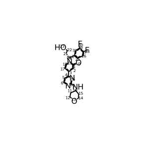 O=c1cc(-c2ccnc(NC3CCOCC3)n2)ccn1[C@H](CCO)c1ccc(F)c(F)c1